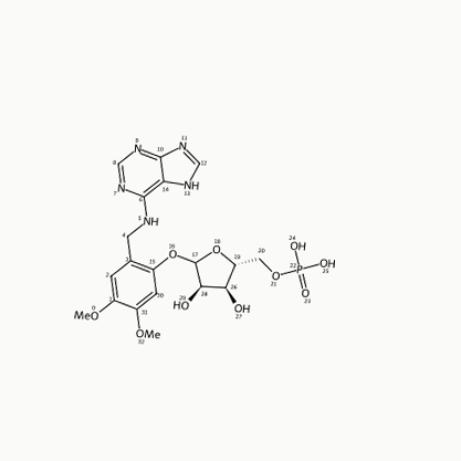 COc1cc(CNc2ncnc3nc[nH]c23)c(OC2O[C@H](COP(=O)(O)O)[C@@H](O)[C@H]2O)cc1OC